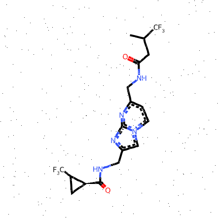 CC(CC(=O)NCc1ccn2cc(CNC(=O)[C@H]3CC3C(F)(F)F)nc2n1)C(F)(F)F